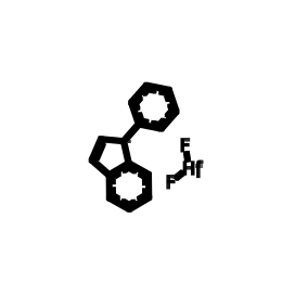 C1=Cc2ccccc2[C]1c1ccccc1.[F][Hf][F]